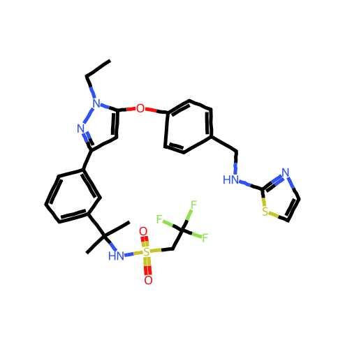 CCn1nc(-c2cccc(C(C)(C)NS(=O)(=O)CC(F)(F)F)c2)cc1Oc1ccc(CNc2nccs2)cc1